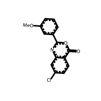 COc1cccc(-c2nc3cc(Cl)ccc3c(=O)o2)c1